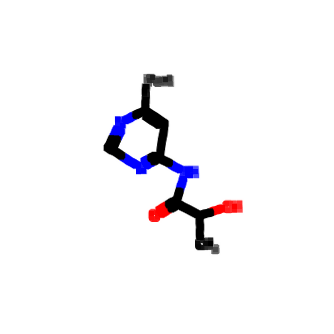 CCCC(C)c1cc(NC(=O)C(C)O)ncn1